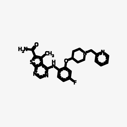 Cc1c(C(N)=O)sc2ncnc(Nc3ccc(F)cc3OC3CCN(Cc4ccccn4)CC3)c12